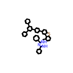 N=C(/N=C(\NCc1cccc2sc3ccc(-c4ccc(-c5cc(C6=CCCC=C6)cc(-c6ccccc6)c5)cc4)cc3c12)C1=CCC=CC=C1)c1ccccc1